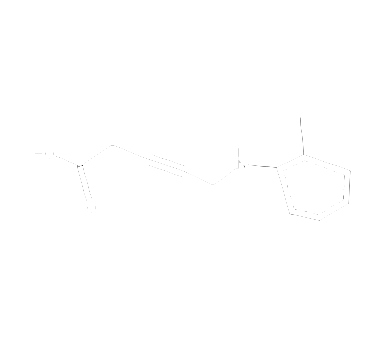 Cc1ccccc1NCC#CCC(=O)O